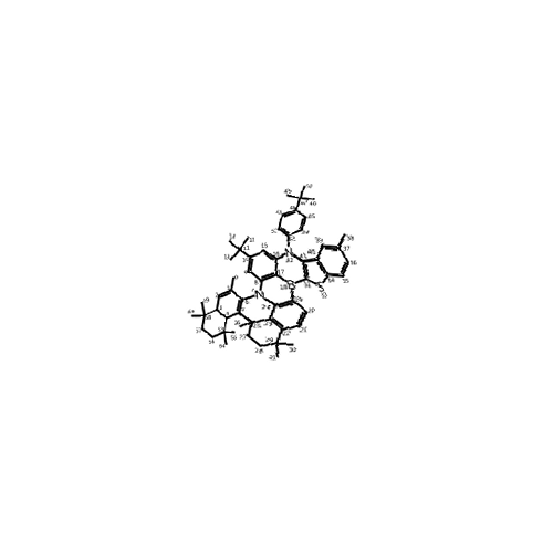 CC1=CC2C(C3=C1N1c4cc(C(C)(C)C)cc5c4B(c4ccc6c(c41)C3(C)CCC6(C)C)c1sc3ccc(C)cc3c1N5c1ccc(C(C)(C)C)cc1)C(C)(C)CCC2(C)C